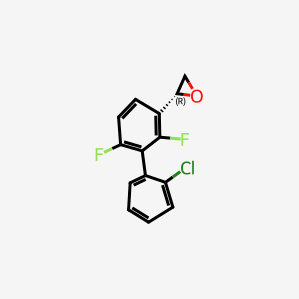 Fc1ccc([C@@H]2CO2)c(F)c1-c1ccccc1Cl